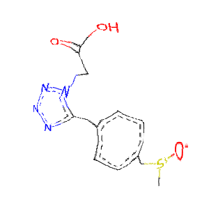 C[S+]([O-])c1ccc(-c2nnnn2CC(=O)O)cc1